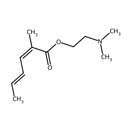 CC=CC=C(C)C(=O)OCCN(C)C